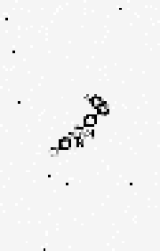 CC(N/C(=N/I)Nc1ccc(Cl)cc1)C1CCC(c2ccnc3ccc(F)cc23)CC1